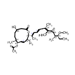 CC[C@H](OC)[C@@H](C)[C@H]1O[C@@H]1[C@@H](O)[C@@H](C)/C=C/C=C(\C)[C@H]1OC(=O)C[C@H](O)CC[C@H](C)[C@@H](OC(C)=O)/C=C/[C@@H]1C